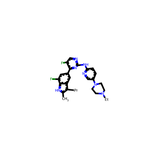 CCN1CCN(c2ccc(Nc3ncc(F)c(-c4cc(F)c5[nH]c(C)c(C(C)C)c5c4)n3)nc2)CC1